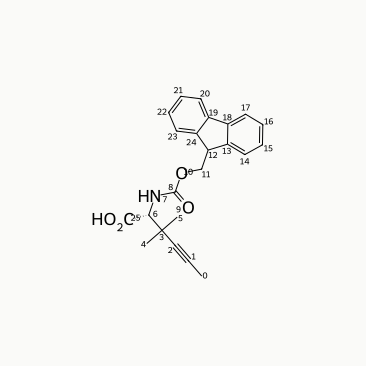 CC#CC(C)(C)[C@@H](NC(=O)OCC1c2ccccc2-c2ccccc21)C(=O)O